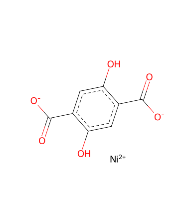 O=C([O-])c1cc(O)c(C(=O)[O-])cc1O.[Ni+2]